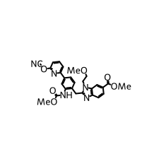 COCCn1c(Cc2ccc(-c3cccc(OC#N)n3)cc2NC(=O)OC)nc2ccc(C(=O)OC)cc21